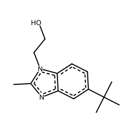 Cc1nc2cc(C(C)(C)C)ccc2n1CCO